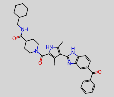 Cc1[nH]c(C(=O)N2CCC(C(=O)NCC3CCCCC3)CC2)c(C)c1-c1nc2cc(C(=O)c3ccccc3)ccc2[nH]1